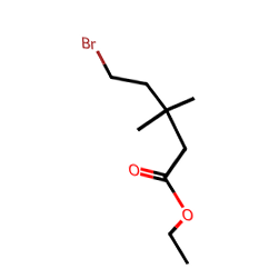 CCOC(=O)CC(C)(C)CCBr